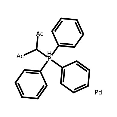 CC(=O)C(C(C)=O)[PH](c1ccccc1)(c1ccccc1)c1ccccc1.[Pd]